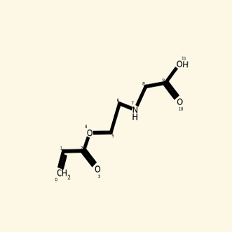 C=CC(=O)OCCNCC(=O)O